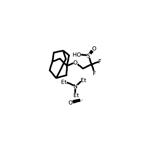 CCN(CC)CC.O=S(O)C(F)(F)COC12CC3CC(CC(C3)C1)C2.[C]=O